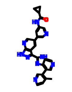 Cc1ccncc1-c1cncc2[nH]c(-c3n[nH]c4ncc(-c5cncc(NC(=O)C6CC6)c5)cc34)nc12